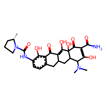 C[C@H]1CCCN1C(=O)Nc1ccc2c(c1O)C(=O)C1=C(O)C3(O)C(=O)C(C(N)=O)=C(O)C(N(C)C)C3CC1C2